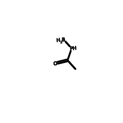 BPC(C)=O